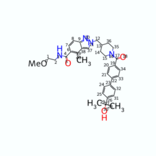 COCCNC(=O)c1ccc2nn(CC3CCN(C(=O)c4ccc(-c5ccc(C(C)(C)O)cc5)cc4)CC3)cc2c1C